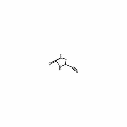 N#CC1CNC(=O)N1